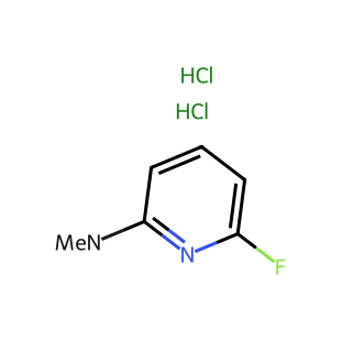 CNc1cccc(F)n1.Cl.Cl